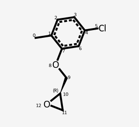 Cc1ccc(Cl)cc1OC[C@H]1CO1